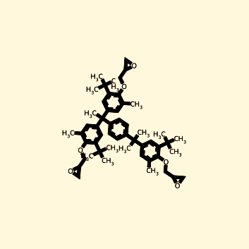 Cc1cc(C(C)(C)c2ccc(C(C)(c3cc(C)c(OCC4CO4)c(C(C)(C)C)c3)c3cc(C)c(OCC4CO4)c(C(C)(C)C)c3)cc2)cc(C(C)(C)C)c1OCC1CO1